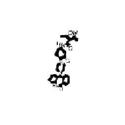 Cc1noc(C)c1C(=O)Nc1ccc(N2CCN(C3c4ccccc4NC(=O)c4ccccc43)CC2)c(Cl)c1